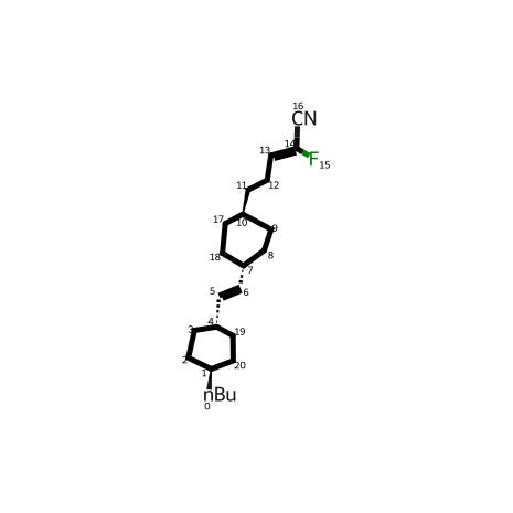 CCCC[C@H]1CC[C@H](C=C[C@H]2CC[C@H](CCC=C(F)C#N)CC2)CC1